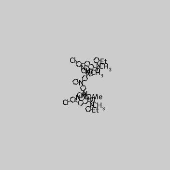 CCc1ccccc1N(C)C(=O)c1cc2ccc3c4cc(Cl)ccc4n(C)c3c2c(N=Nc2ccc(N(c3ccccc3)c3ccc(N=Nc4c(OC)c(C(=O)N(C)c5ccccc5CC)cc5ccc6c7cc(Cl)ccc7n(C)c6c45)cc3)cc2)c1C